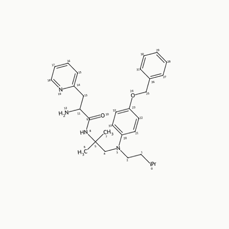 CC(C)CCN(CC(C)(C)NC(=O)C(N)Cc1ccccn1)c1ccc(OCc2ccccc2)cc1